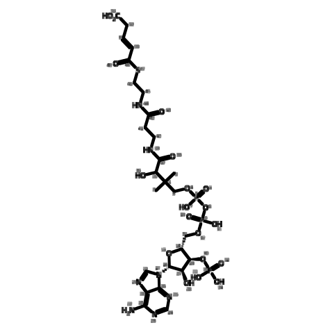 CC(C)(COP(=O)(O)OP(=O)(O)OC[C@H]1O[C@@H](n2cnc3c(N)ncnc32)[C@H](O)[C@@H]1OP(=O)(O)O)C(O)C(=O)NCCC(=O)NCCSC(=O)/C=C/CC(=O)O